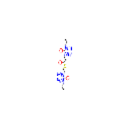 C=CCNC(=O)NCCSC(=O)CCNC(=O)NCC=C